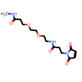 CNC(=O)CCOCCOCCNC(=O)CCN1C(=O)C=CC1=O